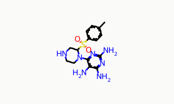 Cc1ccc(S(=O)(=O)C2CNCCN2c2nc(N)nc(N)c2N)cc1